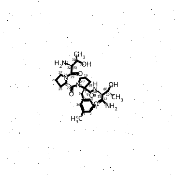 Cc1cccc(C[C@]2(C(=O)N[C@H](C(N)=O)[C@@H](C)O)CCCN2C(=O)[C@@H]2CCCN2C(=O)[C@@H](N)[C@@H](C)O)c1